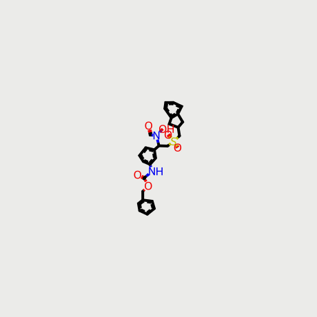 O=CN(O)C(CS(=O)(=O)CC1Cc2ccccc2C1)c1cccc(NC(=O)OCc2ccccc2)c1